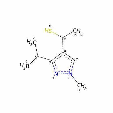 BC(C)c1nn(C)cc1C(C)S